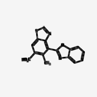 Cc1c(C(=O)O)cc2s[c]nc2c1-c1nc2ccccc2o1